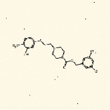 Nc1ccc(SCCN2CCN(C(=O)OCc3cc(Cl)cc(C(F)(F)F)c3)CC2)cc1O